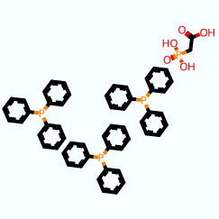 O=C(O)CP(=O)(O)O.c1ccc(P(c2ccccc2)c2ccccc2)cc1.c1ccc(P(c2ccccc2)c2ccccc2)cc1.c1ccc(P(c2ccccc2)c2ccccc2)cc1